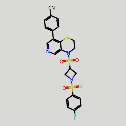 N#Cc1ccc(-c2cncc3c2SCCN3S(=O)(=O)C2CN(S(=O)(=O)c3ccc(F)cc3)C2)cc1